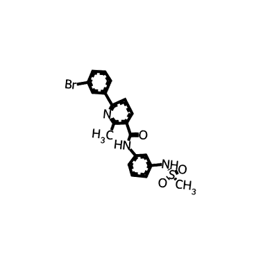 Cc1nc(-c2cccc(Br)c2)ccc1C(=O)Nc1cccc(NS(C)(=O)=O)c1